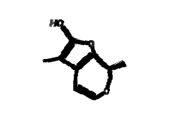 Cc1c(O)oc2c1C=COC2C